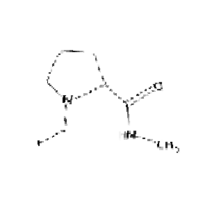 CNC(=O)C1CCCN1CI